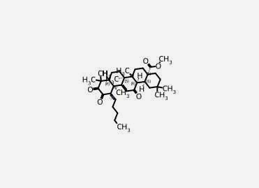 CCCC/C=C1\C(=O)C(=O)C(C)(C)[C@@H]2CC[C@]3(C)C(=CC(=O)[C@@H]4[C@@H]5CC(C)(C)CC[C@]5(C(=O)OC)CC[C@]43C)[C@@]12C